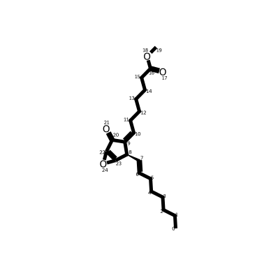 CCCCCCC=C[C@@H]1C(=CCCCCCC(=O)OC)C(=O)C2=C1O2